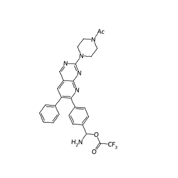 CC(=O)N1CCN(c2ncc3cc(-c4ccccc4)c(-c4ccc(C(N)OC(=O)C(F)(F)F)cc4)nc3n2)CC1